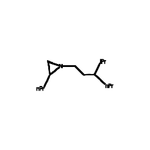 CCCC(CCN1CC1CCC)C(C)C